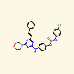 O=C(Nc1ccc(Cl)cc1)Nc1ccc(Nc2nc(/C=C/c3ccccc3)nc(N3CCOCC3)n2)cc1